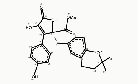 COC(=O)[C@]1(Cc2ccc3c(c2)CCC(C)(C)O3)OC(=O)C(O)=C1c1ccc(O)cc1